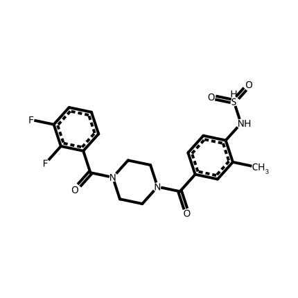 Cc1cc(C(=O)N2CCN(C(=O)c3cccc(F)c3F)CC2)ccc1N[SH](=O)=O